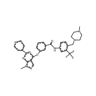 CN1CCN(Cc2ccc(NC(=O)c3cccc(Oc4nc(-c5ccncc5)nc5c4cnn5C)c3)cc2C(F)(F)F)CC1